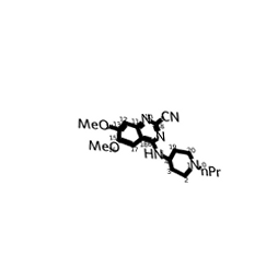 CCCN1CCC(Nc2nc(C#N)nc3cc(OC)c(OC)cc23)CC1